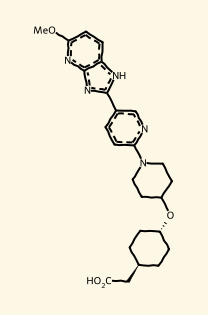 COc1ccc2[nH]c(-c3ccc(N4CCC(O[C@H]5CC[C@H](CC(=O)O)CC5)CC4)nc3)nc2n1